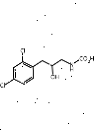 O=C(O)NCC(O)Cc1ccc(Cl)cc1Cl